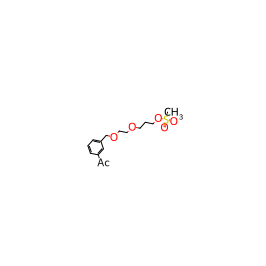 CC(=O)c1cccc(COCCOCCCOS(C)(=O)=O)c1